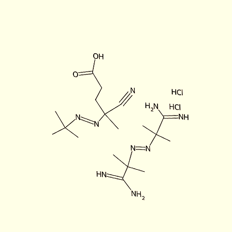 CC(C)(/N=N/C(C)(C)C(=N)N)C(=N)N.CC(C)(C)/N=N/C(C)(C#N)CCC(=O)O.Cl.Cl